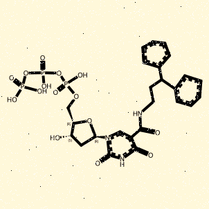 O=C(NCCC(c1ccccc1)c1ccccc1)c1cn([C@H]2C[C@H](O)[C@@H](COP(=O)(O)OP(=O)(O)OP(=O)(O)O)O2)c(=O)[nH]c1=O